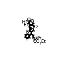 CCOC(=O)N(CCc1c2c(nc3ccccc13)-c1cc3c(c(=O)n1C2)COC(=O)[C@]3(O)CC)C(C)C